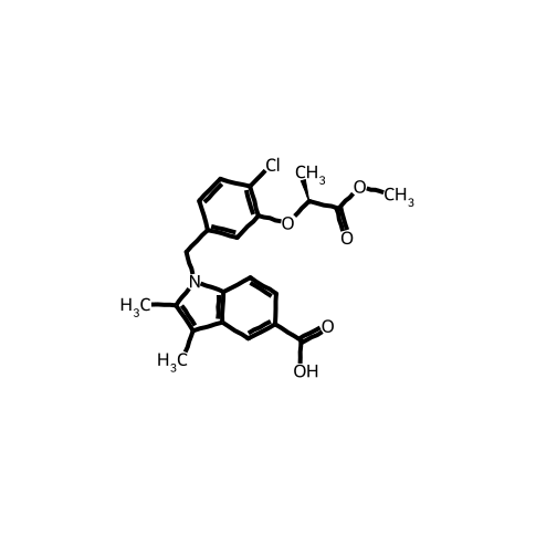 COC(=O)[C@H](C)Oc1cc(Cn2c(C)c(C)c3cc(C(=O)O)ccc32)ccc1Cl